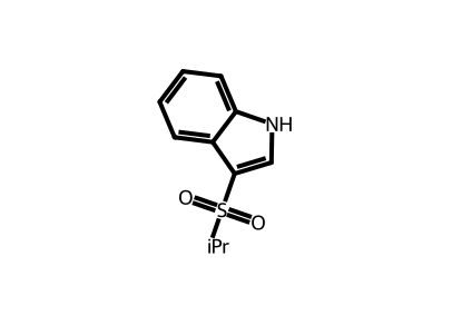 CC(C)S(=O)(=O)c1c[nH]c2ccccc12